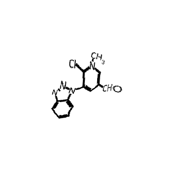 CN1C=C(C=O)C=C(n2nnc3ccccc32)C1Cl